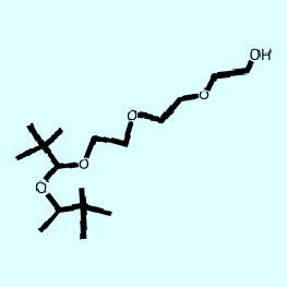 CC(OC(OCCOCCOCCO)C(C)(C)C)C(C)(C)C